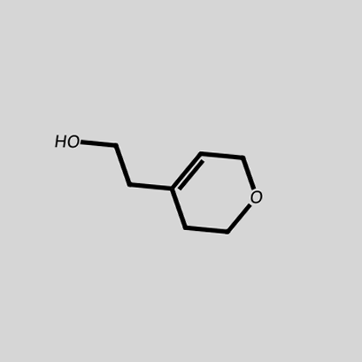 OCCC1=CCOCC1